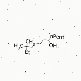 CCCCCC(O)CCCCC(C)(C)CC